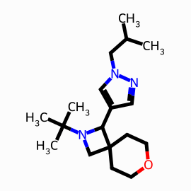 CC(C)Cn1cc(C2N(C(C)(C)C)CC23CCOCC3)cn1